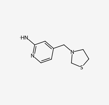 [NH]c1cc(CN2CCSC2)ccn1